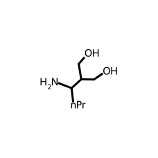 CCCC(N)C(CO)CO